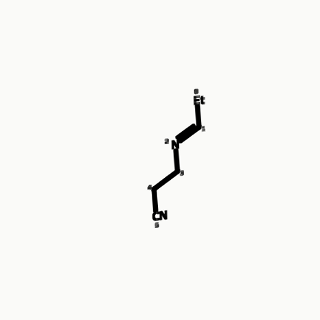 CCC=NCCC#N